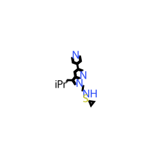 CC(C)Cc1cn(CCNSC2CC2)c2ncc(-c3ccncc3)cc12